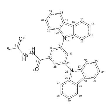 CC(=O)NNC(=O)c1cc(-n2c3ccccc3c3ccccc32)cc(-n2c3ccccc3c3ccccc32)c1